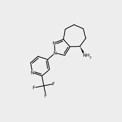 N[C@@H]1CCCCc2nn(-c3ccnc(C(F)(F)F)c3)cc21